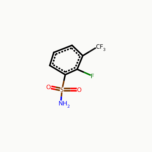 NS(=O)(=O)c1cccc(C(F)(F)F)c1F